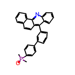 CP(C)(=O)c1ccc(-c2cccc(-c3c4ccccc4nc4c3ccc3ccccc34)c2)cc1